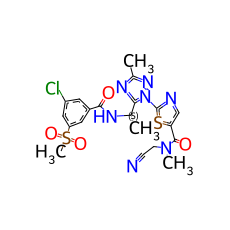 Cc1nc([C@H](C)NC(=O)c2cc(Cl)cc(S(C)(=O)=O)c2)n(-c2ncc(C(=O)N(C)CC#N)s2)n1